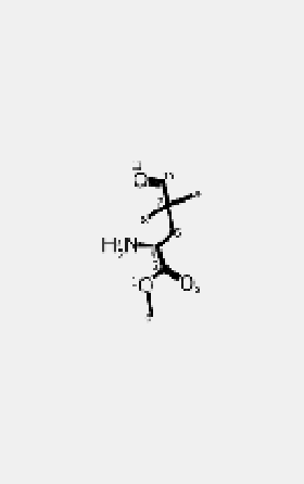 COC(=O)[C@@H](N)CC(C)(C)C=O